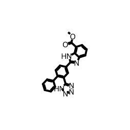 COC(=O)c1cccc2nc(-c3ccc(-c4ccccc4)c(-c4nnn[nH]4)c3)[nH]c12